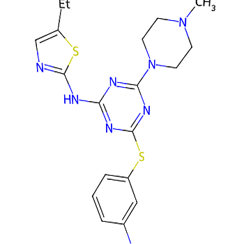 CCc1cnc(Nc2nc(Sc3cccc(N)c3)nc(N3CCN(C)CC3)n2)s1